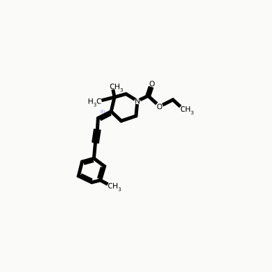 CCOC(=O)N1CC/C(=C\C#Cc2cccc(C)c2)C(C)(C)C1